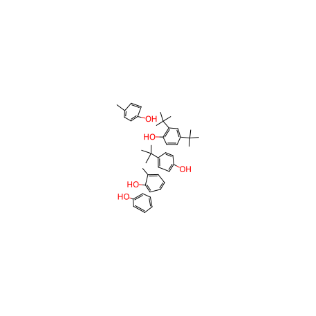 CC(C)(C)c1ccc(O)c(C(C)(C)C)c1.CC(C)(C)c1ccc(O)cc1.Cc1ccc(O)cc1.Cc1ccccc1O.Oc1ccccc1